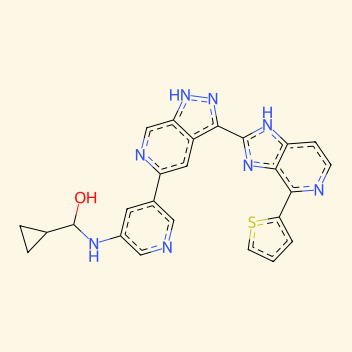 OC(Nc1cncc(-c2cc3c(-c4nc5c(-c6cccs6)nccc5[nH]4)n[nH]c3cn2)c1)C1CC1